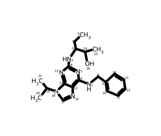 CCC(Nc1nc(NCc2ccccc2)c2ncn(C(C)C)c2n1)C(C)O